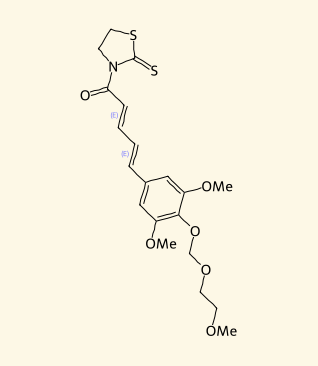 COCCOCOc1c(OC)cc(/C=C/C=C/C(=O)N2CCSC2=S)cc1OC